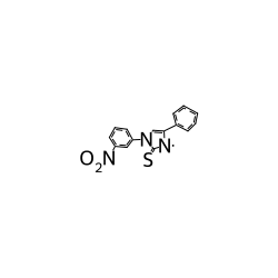 O=[N+]([O-])c1cccc(N2C=C(c3ccccc3)[N]C2=S)c1